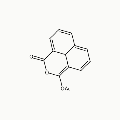 CC(=O)OC1=C2C=CC=C3C=CC=C(C(=O)O1)C32